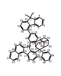 CC1(C)c2ccccc2-c2c(-c3cccc(-n4c5ccc6ccccc6c5c5ccc6c(c54)C4(c5ccccc5-6)C5CC6CC(C5)CC4C6)c3)cccc21